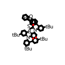 CC(C)(C)c1ccc(-c2cc(C(C)(C)C)ccc2N2c3cc(C(C)(C)C)ccc3B3c4sc5c(ccc6oc7ccccc7c65)c4N(c4ccc(C(C)(C)C)cc4-c4ccc(C(C)(C)C)cc4)c4cccc2c43)cc1